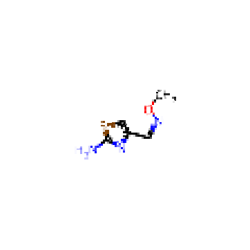 CO/N=C\c1csc(N)n1